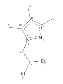 CCC(CC)Cn1nc(C)c(C)c1C